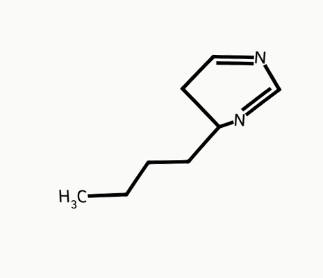 CCCCC1CC=NC=N1